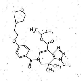 CC(C)OC(=O)C1=CN(C(=O)c2ccc(OCCN3CCOCC3)cc2)CC(C)(C)c2c1nnn2C